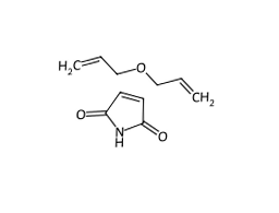 C=CCOCC=C.O=C1C=CC(=O)N1